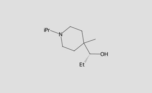 CC[C@@H](O)C1(C)CCN(C(C)C)CC1